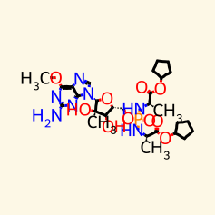 COc1nc(N)nc2c1ncn2[C@@H]1O[C@H](COP(=O)(N[C@@H](C)C(=O)OC2CCCC2)N[C@@H](C)C(=O)OC2CCCC2)[C@@H](O)[C@@]1(C)O